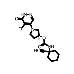 C#CC1(NC(=O)O[C@@H]2CCN(c3cn[nH]c(=O)c3Cl)C2)CCCCC1